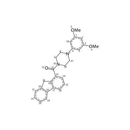 COc1cc(OC)cc(N2CCN(C(=O)c3cccc4c3Cc3ccccc3-4)CC2)c1